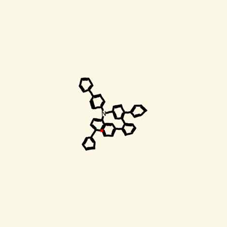 c1c(-c2ccccc2)ccc(N(c2ccc(-c3ccccc3)cc2)c2ccc(-c3ccccc3)c(-c3ccccc3-c3ccccc3)c2)c#1